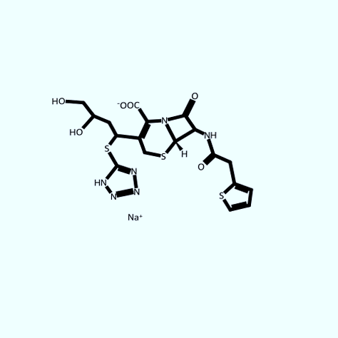 O=C(Cc1cccs1)NC1C(=O)N2C(C(=O)[O-])=C(C(CC(O)CO)Sc3nnn[nH]3)CS[C@@H]12.[Na+]